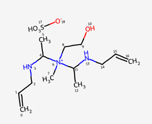 C=CCNC(C)[N+](C)(CCO)C(C)NCC=C.O=S(=O)([O-])O